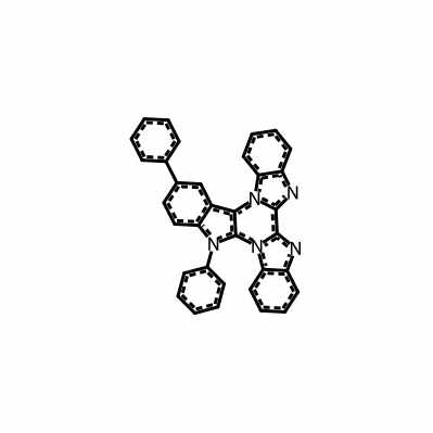 c1ccc(-c2ccc3c(c2)c2c(n3-c3ccccc3)n3c4ccccc4nc3c3nc4ccccc4n32)cc1